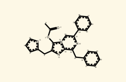 CC(=O)Oc1c(Cc2cccs2)nc2c(Cc3ccccc3)nc(-c3ccccc3)cn12